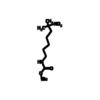 CC(C)(C)OC(=O)NCCCCCC(C)(C)[N+](=O)[O-]